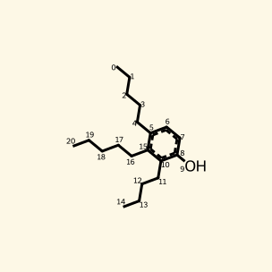 CCCCCc1ccc(O)c(CCCC)c1CCCCC